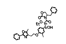 CCO[C@H](C(=O)N1C(=O)OCC1Cc1ccccc1)[C@H](O)c1ccc(OCCc2nc(-c3ccccc3)oc2C)c(C)c1